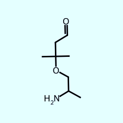 CC(N)COC(C)(C)CC=O